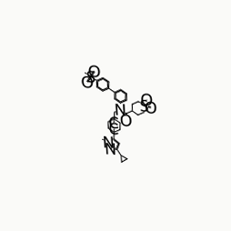 Cn1nc(C2CC2)cc1C12CCC(CN(C(=O)C3CCS(=O)(=O)CC3)c3cccc(-c4ccc(S(C)(=O)=O)cc4)c3)(CC1)CC2